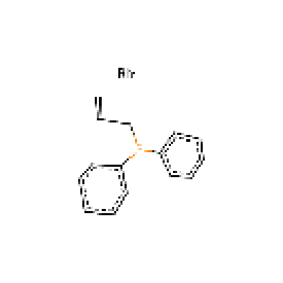 C=CCP(c1ccccc1)c1ccccc1.[Rh]